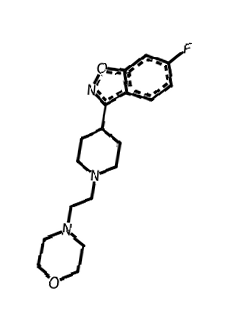 Fc1ccc2c(C3CCN(CCN4CCOCC4)CC3)noc2c1